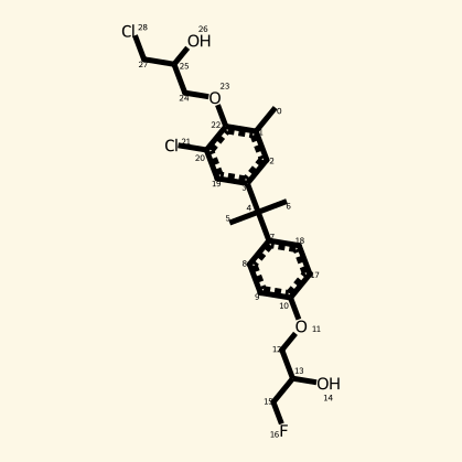 Cc1cc(C(C)(C)c2ccc(OCC(O)CF)cc2)cc(Cl)c1OCC(O)CCl